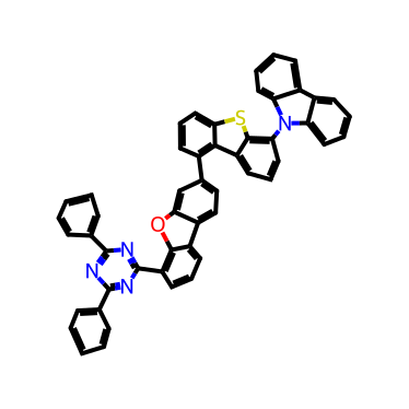 c1ccc(-c2nc(-c3ccccc3)nc(-c3cccc4c3oc3cc(-c5cccc6sc7c(-n8c9ccccc9c9ccccc98)cccc7c56)ccc34)n2)cc1